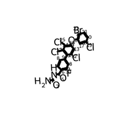 NC(=O)NC(=O)c1ccc(-c2c(Cl)cc(Oc3cc(Cl)ccc3Br)c(Cl)c2Cl)cc1F